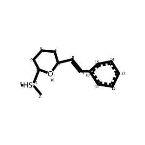 C[SiH](C)C1CCCC(C=Cc2ccccc2)O1